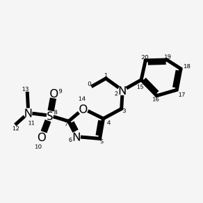 CCN(Cc1cnc(S(=O)(=O)N(C)C)o1)c1ccccc1